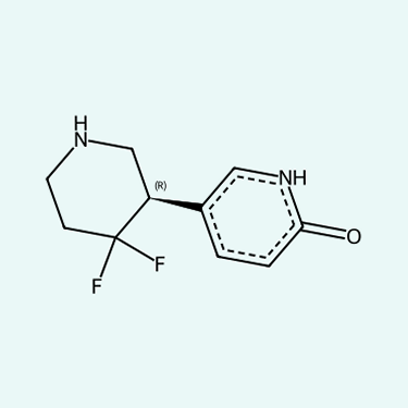 O=c1ccc([C@@H]2CNCCC2(F)F)c[nH]1